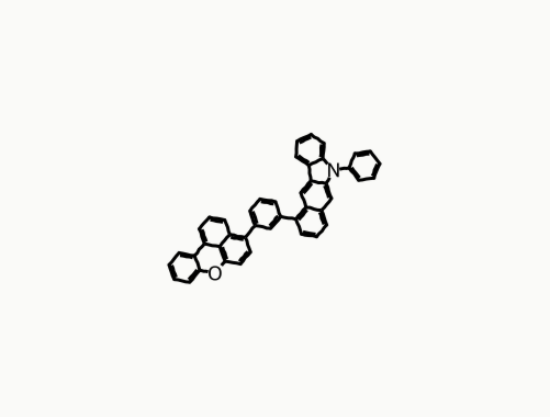 c1ccc(-n2c3ccccc3c3cc4c(-c5cccc(-c6ccc7c8c(cccc68)-c6ccccc6O7)c5)cccc4cc32)cc1